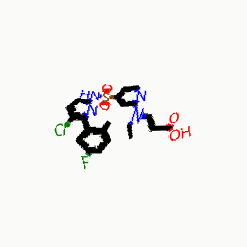 CCN(CCC(=O)O)c1cc(S(=O)(=O)Nc2ccc(Cl)c(-c3cc(F)ccc3C)n2)ccn1